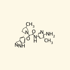 Cc1cc(NC(=O)C(=O)N2C[C@H](C)CC[C@H]2c2ccc3[nH]ncc3c2)cnc1N